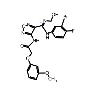 COc1cccc(OCC(=O)Nc2nonc2/C(=N/CO)Nc2ccc(F)c(Br)c2)c1